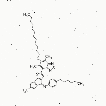 CCCCCCCCCCCCOc1c(C)c(-c2cc3c(s2)-c2sc(C)cc2/C3=N/c2ccc(CCCCCC)cc2)c2nsnc2c1C